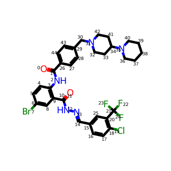 O=C(Nc1ccc(Br)cc1C(=O)NN=Cc1ccc(Cl)c(C(F)(F)F)c1)c1ccc(CN2CCC(N3CCCCC3)CC2)cc1